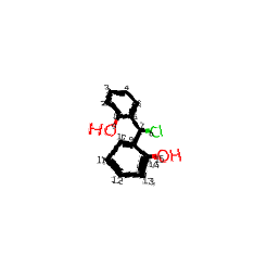 Oc1ccccc1C(Cl)c1ccccc1O